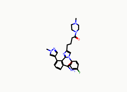 CN1CCN(C(=O)CCCc2cn(-c3ccc(F)cc3)c(-c3c(C(N)=O)cccc3-c3cnn(C)c3)n2)CC1